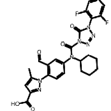 Cc1cc(C(=O)O)nn1-c1ccc(N(C(=O)n2nnn(-c3c(F)cccc3F)c2=O)C2CCCCC2)cc1C=O